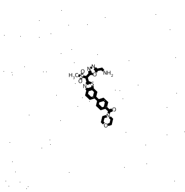 CS(=O)(=O)C(c1nnc(CN)o1)c1nc2ccc(-c3ccc(C(=O)N4CCOCC4)cc3)cc2s1